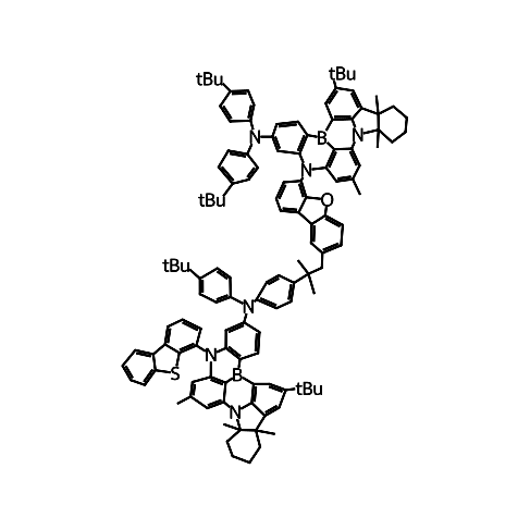 Cc1cc2c3c(c1)N1c4c(cc(C(C)(C)C)cc4C4(C)CCCCC14C)B3c1ccc(N(c3ccc(C(C)(C)C)cc3)c3ccc(C(C)(C)C)cc3)cc1N2c1cccc2c1oc1ccc(CC(C)(C)c3ccc(N(c4ccc(C(C)(C)C)cc4)c4ccc5c(c4)N(c4cccc6c4sc4ccccc46)c4cc(C)cc6c4B5c4cc(C(C)(C)C)cc5c4N6C4(C)CCCCC54C)cc3)cc12